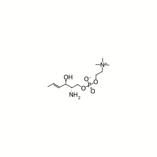 C/C=C/[C@@H](O)[C@@H](N)COP(=O)([O-])OCC[N+](C)(C)C